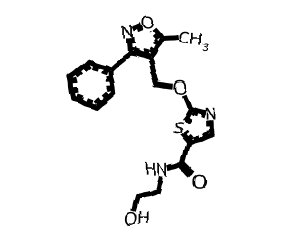 Cc1onc(-c2ccccc2)c1COc1ncc(C(=O)NCCO)s1